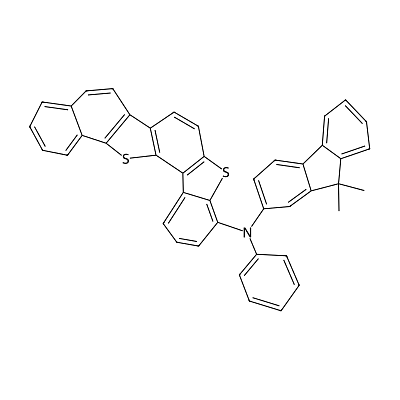 CC1(C)c2ccccc2-c2ccc(N(c3ccccc3)c3cccc4c3sc3ccc5c6ccc7ccccc7c6sc5c34)cc21